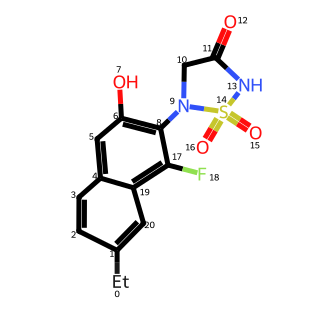 CCc1ccc2cc(O)c(N3CC(=O)NS3(=O)=O)c(F)c2c1